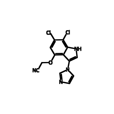 N#CCOc1cc(Cl)c(Cl)c2[nH]cc(-n3ccnc3)c12